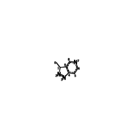 CC1N=Nc2ccncc21